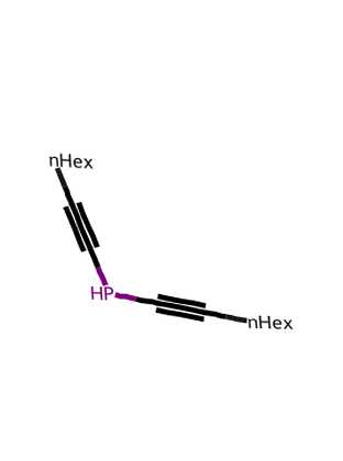 CCCCCCC#CPC#CCCCCCC